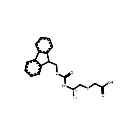 C[C@H](CSCC(=O)O)NC(=O)OCC1c2ccccc2-c2ccccc21